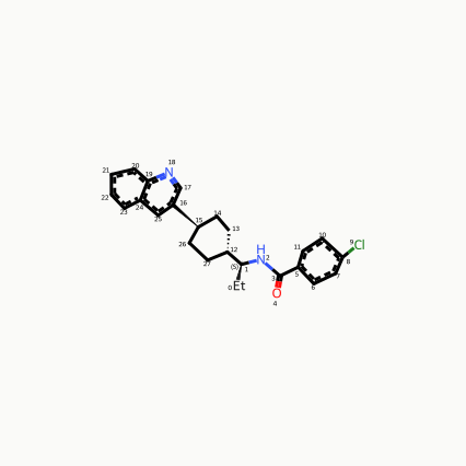 CC[C@H](NC(=O)c1ccc(Cl)cc1)[C@H]1CC[C@H](c2cnc3ccccc3c2)CC1